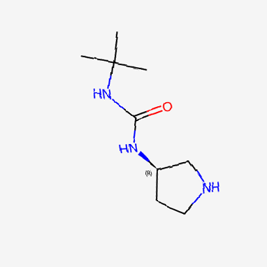 CC(C)(C)NC(=O)N[C@@H]1CCNC1